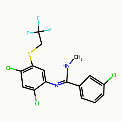 CN/C(=N\c1cc(SCC(F)(F)F)c(Cl)cc1Cl)c1cccc(Cl)c1